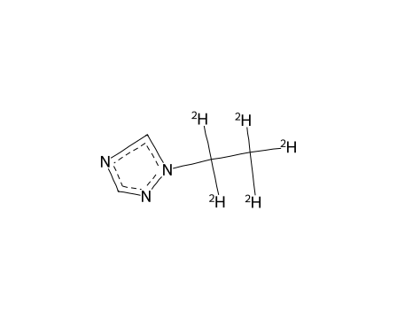 [2H]C([2H])([2H])C([2H])([2H])n1cncn1